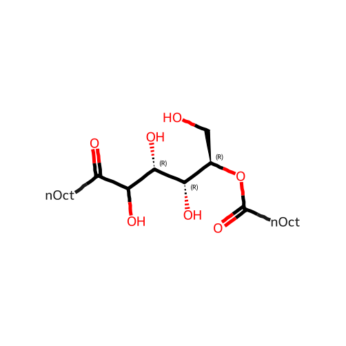 CCCCCCCCC(=O)O[C@H](CO)[C@H](O)[C@@H](O)C(O)C(=O)CCCCCCCC